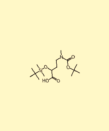 CN(CCC(O[Si](C)(C)C(C)(C)C)C(=O)O)C(=O)OC(C)(C)C